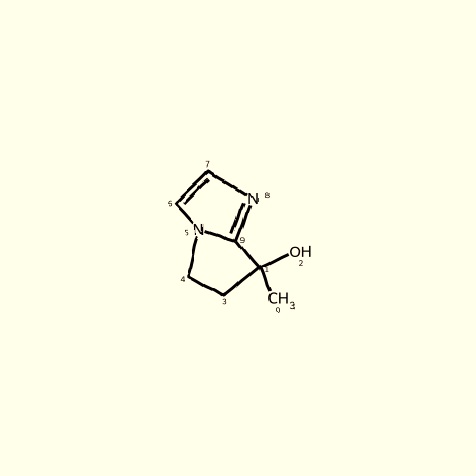 CC1(O)CCn2ccnc21